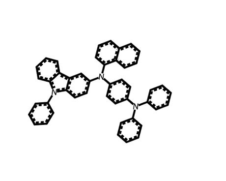 c1ccc(N(c2ccccc2)c2ccc(N(c3ccc4c(c3)c3ccccc3n4-c3ccccc3)c3cccc4ccccc34)cc2)cc1